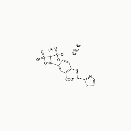 CCCC(Nc1ccc(N=Nc2nccs2)c(C(=O)[O-])c1)(S(=O)(=O)[O-])S(=O)(=O)[O-].[Na+].[Na+].[Na+]